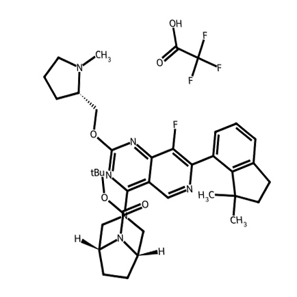 CN1CCC[C@H]1COc1nc(N2C[C@H]3CC[C@@H](C2)N3C(=O)OC(C)(C)C)c2cnc(-c3cccc4c3C(C)(C)CC4)c(F)c2n1.O=C(O)C(F)(F)F